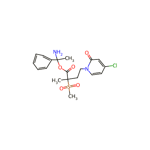 CC(N)(OC(=O)C(C)(CCn1ccc(Cl)cc1=O)S(C)(=O)=O)c1ccccc1